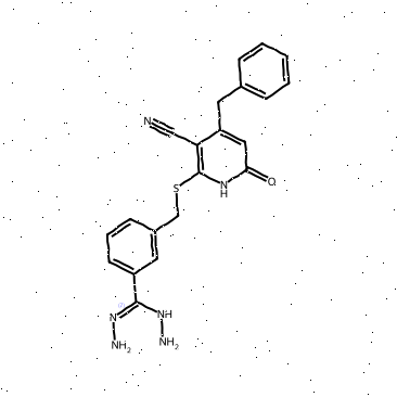 N#Cc1c(Cc2ccccc2)cc(=O)[nH]c1SCc1cccc(/C(=N/N)NN)c1